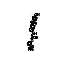 CNS(=O)(=O)c1cccc(OCC(O)CNC2COC3(CCN(S(=O)(=O)c4ccc(O)nc4)CC3)C2)c1